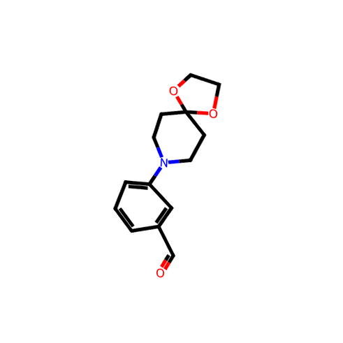 O=Cc1cccc(N2CCC3(CC2)OCCO3)c1